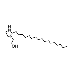 CCCCCCCCCCCCCCCCCC1NCCN1CCO